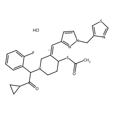 CC(=O)SC1CCN(C(C(=O)C2CC2)c2ccccc2F)C/C1=C/c1ccn(Cc2cscn2)n1.Cl